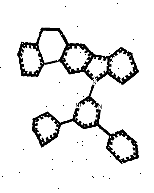 c1ccc(-c2cc(-c3ccccc3)nc(-n3c4ccccc4c4cc5c(cc43)-c3ccccc3CC5)n2)cc1